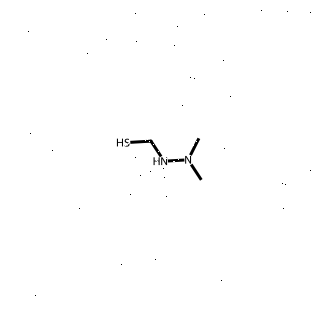 CN(C)NCS